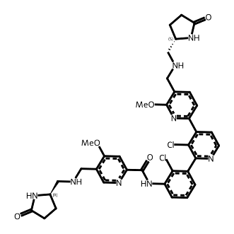 COc1cc(C(=O)Nc2cccc(-c3nccc(-c4ccc(CNC[C@@H]5CCC(=O)N5)c(OC)n4)c3Cl)c2Cl)ncc1CNC[C@H]1CCC(=O)N1